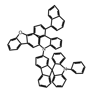 c1ccc(N2c3ccccc3C3(c4ccccc4-c4ccc(N(c5ccc6oc7ccccc7c6c5)c5ccccc5-c5ccccc5-c5cccc6ccccc56)cc43)c3ccccc32)cc1